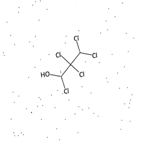 OC(Cl)C(Cl)(Cl)C(Cl)Cl